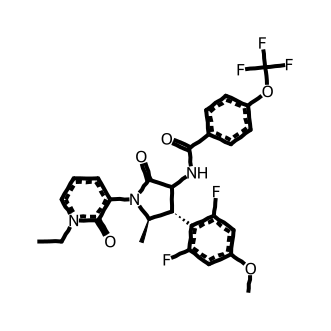 CCn1cccc(N2C(=O)C(NC(=O)c3ccc(OC(F)(F)F)cc3)[C@H](c3c(F)cc(OC)cc3F)[C@H]2C)c1=O